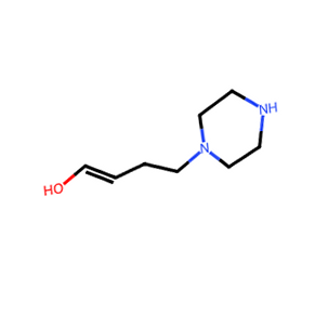 OC=CCCN1CCNCC1